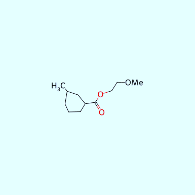 COCCOC(=O)C1CCCC(C)C1